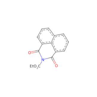 CCOC(=O)N1C(=O)c2cccc3cccc(c23)C1=O